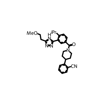 COCCc1nnc(-c2cc(C(=O)N3CCC(c4ccccc4C#N)CC3)ccc2C(C)C)[nH]1